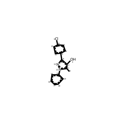 Cc1c(O)c(-c2ccc(Cl)cc2)nn1-c1ccccc1